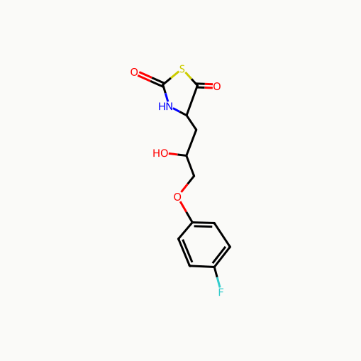 O=C1NC(CC(O)COc2ccc(F)cc2)C(=O)S1